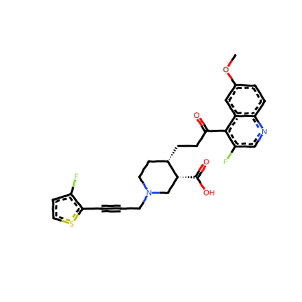 COc1ccc2ncc(F)c(C(=O)CC[C@H]3CCN(CC#Cc4sccc4F)C[C@H]3C(=O)O)c2c1